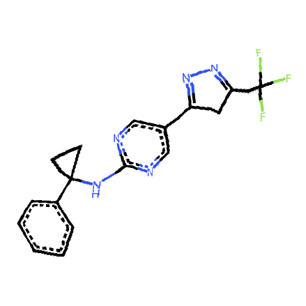 FC(F)(F)C1=NN=C(c2cnc(NC3(c4ccccc4)CC3)nc2)C1